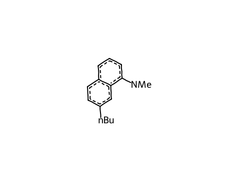 CCCCc1ccc2cccc(NC)c2c1